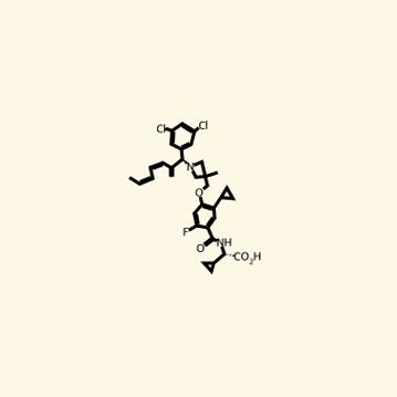 C=C(/C=C\C=C/C)[C@@H](c1cc(Cl)cc(Cl)c1)N1CC(C)(COc2cc(F)c(C(=O)N[C@H](C(=O)O)C3CC3)cc2C2CC2)C1